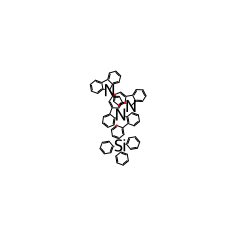 c1ccc([Si](c2ccccc2)(c2ccccc2)c2cccc(-c3cccc(-n4c5ccccc5c5ccccc54)c3-n3c4ccccc4c4cc(-n5c6ccccc6c6ccccc65)ccc43)c2)cc1